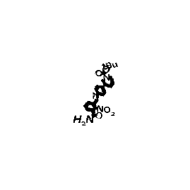 CC(C)(C)OC(=O)N1CCC[C@@H](c2ccc(/N=C/c3cccc(C(N)=O)c3[N+](=O)[O-])cc2)C1